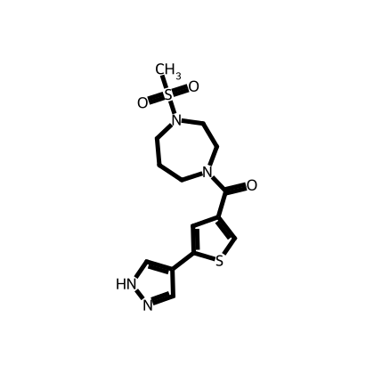 CS(=O)(=O)N1CCCN(C(=O)c2csc(-c3cn[nH]c3)c2)CC1